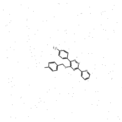 Cc1ccc(CSc2nc(-c3ccccn3)nnc2-c2ccc(C(F)(F)F)cc2)cc1